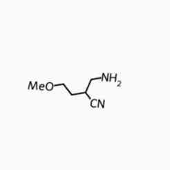 COCCC(C#N)CN